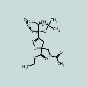 CCOC(=O)C1(COC(C)=O)CC([C@@](N=C=O)(OC(C)(C)C)C(C)C)=NO1